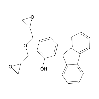 C(OCC1CO1)C1CO1.Oc1ccccc1.c1ccc2c(c1)Cc1ccccc1-2